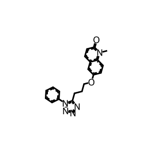 Cn1c(=O)ccc2cc(OCCCc3nnnn3-c3ccccc3)ccc21